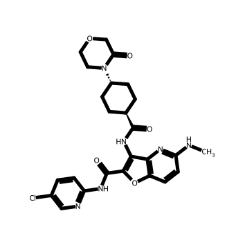 CNc1ccc2oc(C(=O)Nc3ccc(Cl)cn3)c(NC(=O)[C@H]3CC[C@H](N4CCOCC4=O)CC3)c2n1